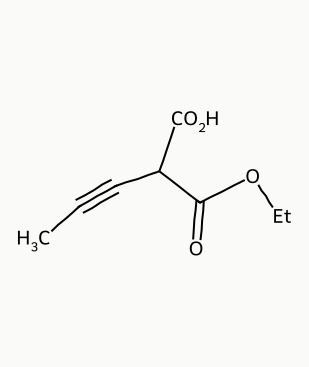 CC#CC(C(=O)O)C(=O)OCC